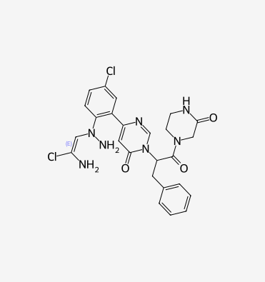 N/C(Cl)=C\N(N)c1ccc(Cl)cc1-c1cc(=O)n(C(Cc2ccccc2)C(=O)N2CCNC(=O)C2)cn1